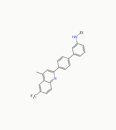 CCNc1cccc(-c2ccc(-c3cc(C)c4cc(C(F)(F)F)ccc4n3)cc2)c1